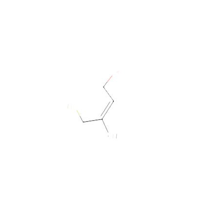 CC(=CCO)CS